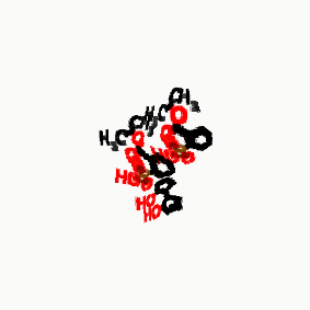 CC(C)OC(=O)c1ccccc1S(=O)(=O)O.CC(C)OC(=O)c1ccccc1S(=O)(=O)O.OC1=C(C2=CC=CC2O)CC=C1